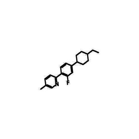 CCC1CCC(c2ccc(-c3ccc(C)cn3)c(F)c2)CC1